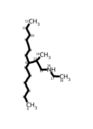 CCCCCCC(CCCCCC)C(C)CNCC